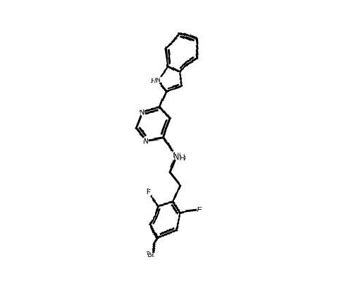 Fc1cc(Br)cc(F)c1CCNc1cc(-c2cc3ccccc3[nH]2)ncn1